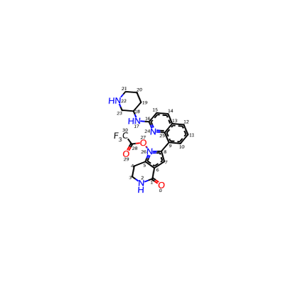 O=C1NCCc2c1cc(-c1cccc3ccc(NC4CCCNC4)nc13)n2OC(=O)C(F)(F)F